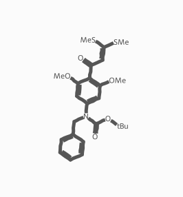 COc1cc(N(Cc2ccccc2)C(=O)OC(C)(C)C)cc(OC)c1C(=O)C=C(SC)SC